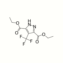 CCOC(=O)c1n[nH]c(C(=O)OCC)c1C(F)(F)F